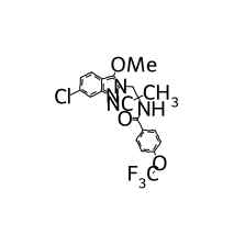 COc1c2ccc(Cl)cc2nn1CC(C)(C#N)NC(=O)c1ccc(OC(F)(F)F)cc1